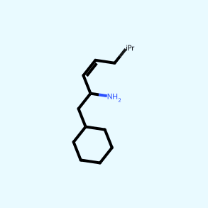 CC(C)C/C=C\C(N)CC1CCCCC1